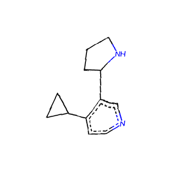 c1cc(C2CC2)c(C2CCCN2)cn1